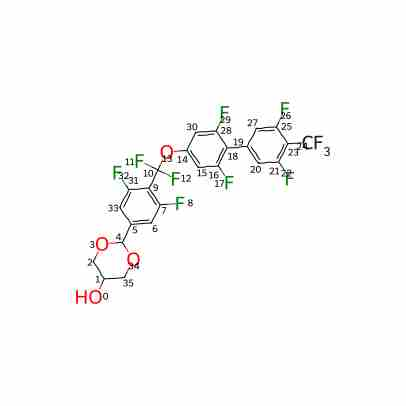 OC1COC(c2cc(F)c(C(F)(F)Oc3cc(F)c(-c4cc(F)c(C(F)(F)F)c(F)c4)c(F)c3)c(F)c2)OC1